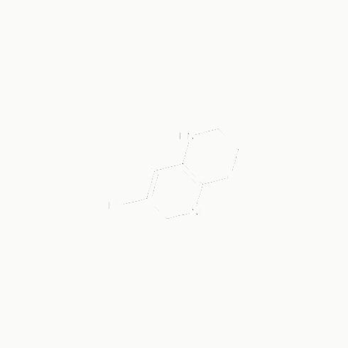 CC1=CC2=C(NC1)OCCN2